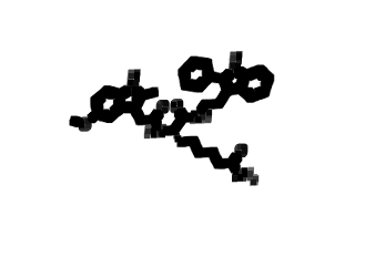 COc1ccc2[nH]c(C)c(CC(=O)N[C@@H](CCCCCC(N)=O)C(=O)NCCc3c(-c4ccccc4)[nH]c4ccccc34)c2c1